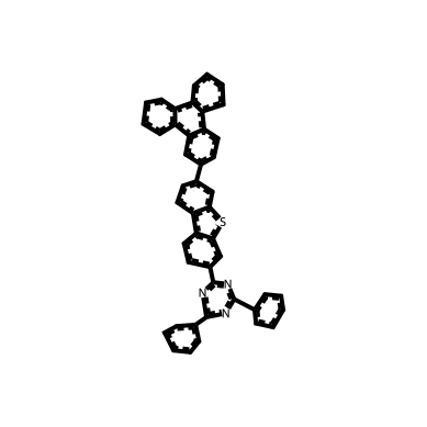 c1ccc(-c2nc(-c3ccccc3)nc(-c3ccc4c(c3)sc3cc(-c5ccc6c7ccccc7c7ccccc7c6c5)ccc34)n2)cc1